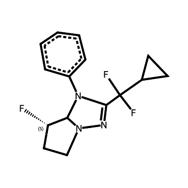 F[C@H]1CCN2N=C(C(F)(F)C3CC3)N(c3ccccc3)C12